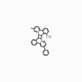 Cc1ccc2[n+](c1)C1C3c4ccccc4-c4cc(-c5ccccc5)cc[n+]4C3C1c1c(C#N)cccc1-2